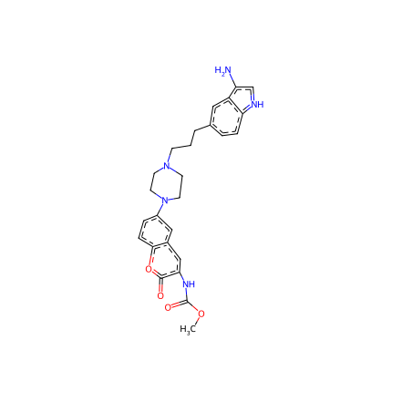 COC(=O)Nc1cc2cc(N3CCN(CCCc4ccc5[nH]cc(N)c5c4)CC3)ccc2oc1=O